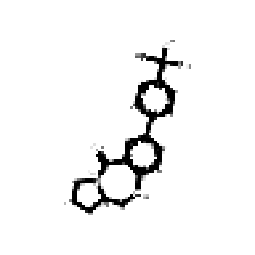 O=C1c2cc(-c3ccc(C(F)(F)F)cc3)ccc2OCC2CCCN12